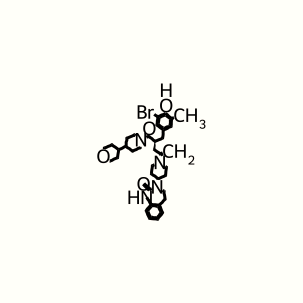 C=C(C[C@H](Cc1cc(C)c(O)c(Br)c1)C(=O)N1CCC(C2CCOCC2)CC1)N1CCC(N2CCc3ccccc3NC2=O)CC1